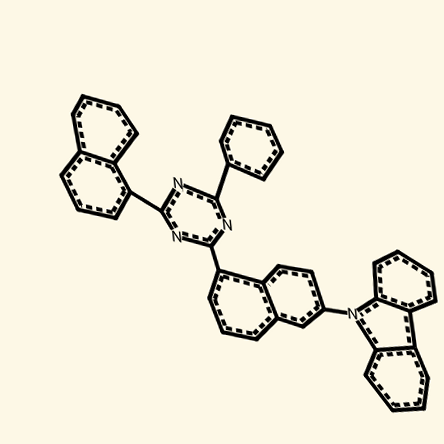 c1ccc(-c2nc(-c3cccc4ccccc34)nc(-c3cccc4cc(-n5c6ccccc6c6ccccc65)ccc34)n2)cc1